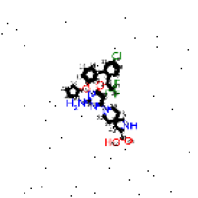 Nc1nc(O[C@H](c2ccc(Cl)cc2-c2cccc(OC3CCCC3)c2)C(F)(F)F)cc(N2CCC3(CC2)CN[C@H](C(=O)O)C3)n1